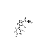 Cc1ccc(-c2csc(C(N)=O)c2C)c(C)c1